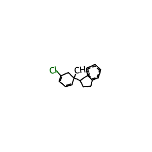 CC1(C2CCc3ccccc32)C=CC=C(Cl)C1